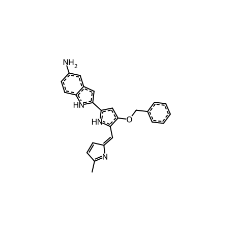 CC1=NC(=Cc2[nH]c(-c3cc4cc(N)ccc4[nH]3)cc2OCc2ccccc2)C=C1